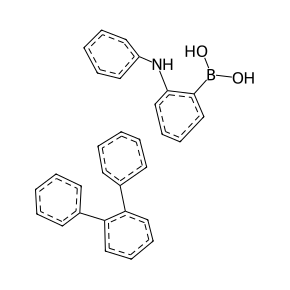 OB(O)c1ccccc1Nc1ccccc1.c1ccc(-c2ccccc2-c2ccccc2)cc1